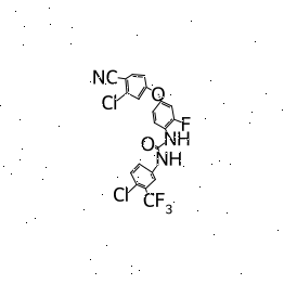 N#Cc1ccc(Oc2ccc(NC(=O)Nc3ccc(Cl)c(C(F)(F)F)c3)c(F)c2)cc1Cl